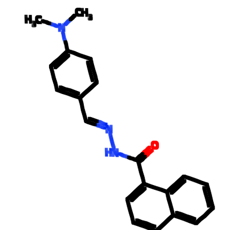 CN(C)c1ccc(C=NNC(=O)c2cccc3ccccc23)cc1